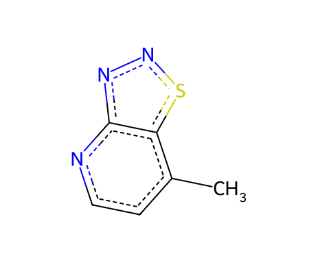 Cc1ccnc2nnsc12